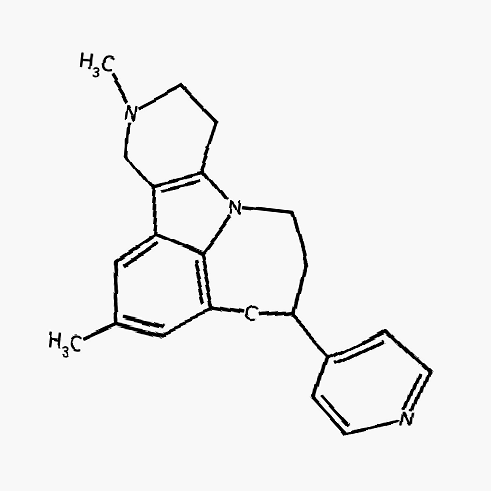 Cc1cc2c3c(c1)c1c(n3CCC(c3ccncc3)C2)CCN(C)C1